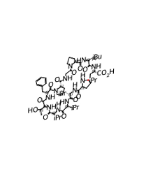 CC[C@H](C)[C@H](NC(=O)[C@@H]1CCCN1C(=O)CNC(=O)[C@@H]1CCCN1C(=O)[C@H](Cc1ccccc1)NC(=O)[C@@H](NC(=O)[C@@H](NC(=O)[C@@H](NC(=O)[C@@H](NC(=O)[C@@H]1CCCN1)C(C)C)C(C)C)C(C)C)[C@@H](C)O)C(=O)N[C@@H](CC(C)C)C(=O)O